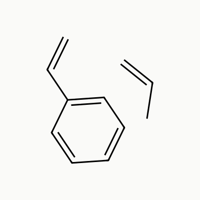 C=CC.C=Cc1ccccc1